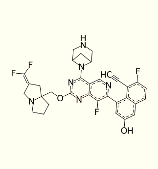 C#Cc1c(F)ccc2cc(O)cc(-c3ncc4c(N5C6CNCC5C6)nc(OCC56CCCN5CC(=C(F)F)C6)nc4c3F)c12